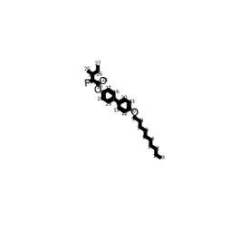 CCCCCCCCCCOc1ccc(-c2ccc(OC(=O)C(F)C(C)CC)cc2)cc1